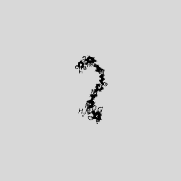 C[C@@H](Oc1cc(-c2cnn(C3CCN(C(=O)CCCCN4CC(CNc5cccc6c5CN(C5CCC(=O)NC5=O)C6=O)C4)CC3)c2)cnc1N)c1c(Cl)ccc(F)c1Cl